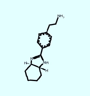 NCCc1ccc(C2=N[C@@H]3CCCC[C@H]3N2)cc1